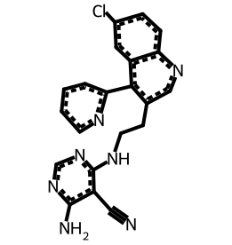 N#Cc1c(N)ncnc1NCCc1cnc2ccc(Cl)cc2c1-c1ccccn1